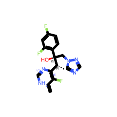 C=C/C(F)=C(\N=C/N)[C@@H](C)[C@@](O)(Cn1cncn1)c1ccc(F)cc1F